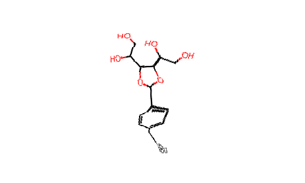 CCC(C)c1ccc(C2OC(C(O)CO)C(C(O)CO)O2)cc1